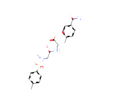 Cc1ccc(S(=O)(=O)N(C)CC(=O)N[C@@H](Cc2ccc(C(N)=O)cc2)C(=O)O)cc1